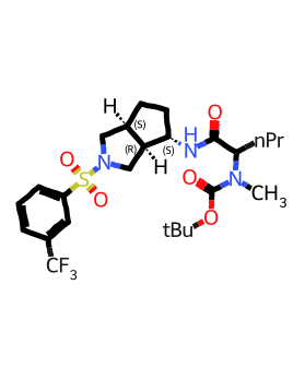 CCCC(C(=O)N[C@H]1CC[C@@H]2CN(S(=O)(=O)c3cccc(C(F)(F)F)c3)C[C@@H]21)N(C)C(=O)OC(C)(C)C